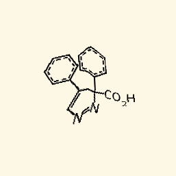 O=C(O)C1(c2ccccc2)N=NC=C1c1ccccc1